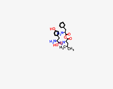 CC(C)C[C@H](N)C(=O)OC(=O)[C@@H](N)Cc1ccccc1.N[C@@H](Cc1ccc(O)cc1)C(=O)O